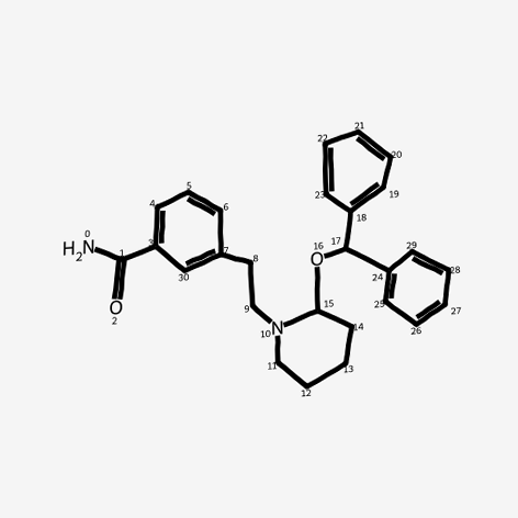 NC(=O)c1cccc(CCN2CCCCC2OC(c2ccccc2)c2ccccc2)c1